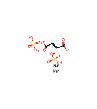 O=C([O-])/C=C/C(=O)[O-].O=S(=O)(O)O.O=S(=O)(O)O.[Na+].[Na+]